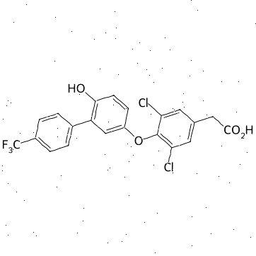 O=C(O)Cc1cc(Cl)c(Oc2ccc(O)c(-c3ccc(C(F)(F)F)cc3)c2)c(Cl)c1